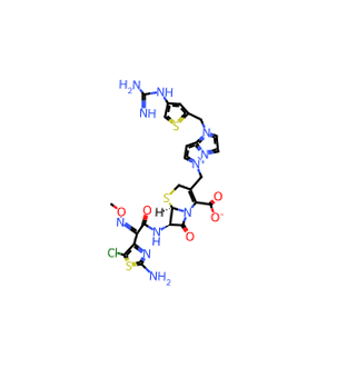 CO/N=C(\C(=O)N[C@@H]1C(=O)N2C(C(=O)[O-])=C(C[n+]3ccc4n(Cc5cc(NC(=N)N)cs5)ccn43)CS[C@H]12)c1nc(N)sc1Cl